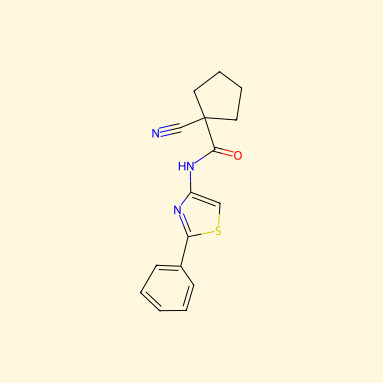 N#CC1(C(=O)Nc2csc(-c3ccccc3)n2)CCCC1